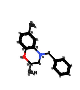 O=C(O)[C@H]1CN(Cc2ccccc2)c2cc([N+](=O)[O-])ccc2O1